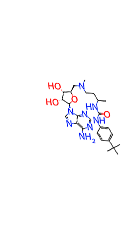 C[C@H](CCN(C)C[C@H]1O[C@@H](n2cnc3c(N)ncnc32)[C@H](O)[C@@H]1O)NC(=O)Nc1ccc(C(C)(C)C)cc1